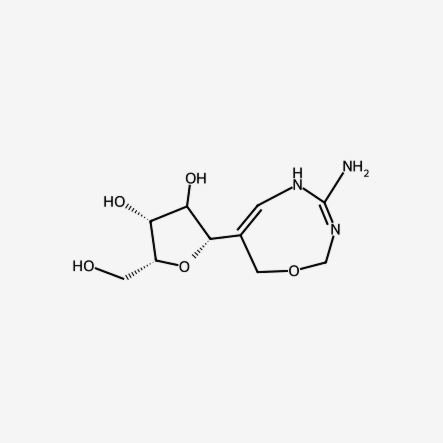 N/C1=N/COC/C([C@@H]2O[C@H](CO)[C@H](O)C2O)=C\N1